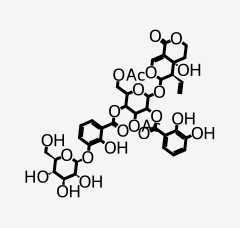 C=C[C@H]1C(OC2OC(COC(C)=O)C(OC(=O)c3cccc(O[C@@H]4O[C@H](CO)[C@@H](O)[C@H](O)[C@H]4O)c3O)C(OC(C)=O)C2OC(=O)c2cccc(O)c2O)OC=C2C(=O)OCC[C@]21O